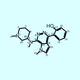 CN1CCC[C@@H](N(C)c2nnc(-c3ccccc3O)c3ccn(C)c23)C1